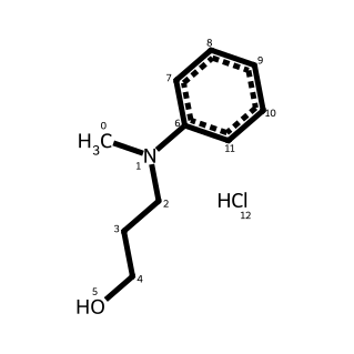 CN(CCCO)c1ccccc1.Cl